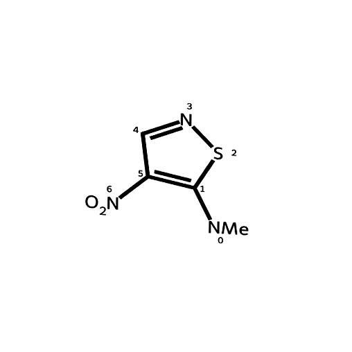 CNc1sncc1[N+](=O)[O-]